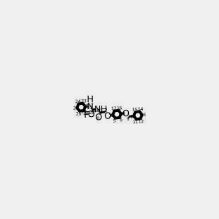 O=C(COc1ccc(OCc2ccccc2)cc1)NC(=O)Nc1ccccc1F